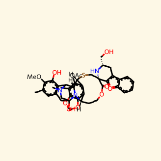 COc1c(C)cc2c(c1O)C1[C@@H]3[C@@H]4SC[C@]5(N[C@H](CO)Cc6c5oc5ccccc65)C(=O)OCC[C@@H](c5c6c(c(C)c(OC(C)=O)c54)OCO6)N3C(O)(C2)CN1C